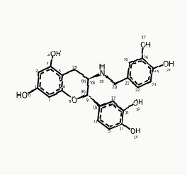 Oc1cc(O)c2c(c1)O[C@H](c1ccc(O)c(O)c1)[C@H](NCc1ccc(O)c(O)c1)C2